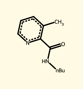 CCCCNC(=O)c1ncccc1C